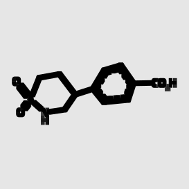 O=C(O)c1ccc(C2CCS(=O)(=O)NC2)cc1